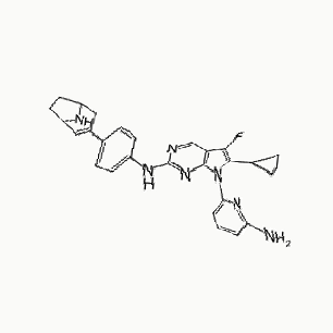 Nc1cccc(-n2c(C3CC3)c(F)c3cnc(Nc4ccc(C5=CC6CCC(C5)N6)cc4)nc32)n1